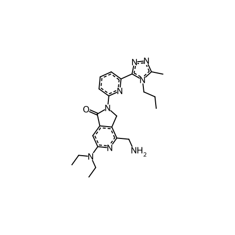 CCCn1c(C)nnc1-c1cccc(N2Cc3c(cc(N(CC)CC)nc3CN)C2=O)n1